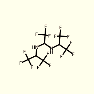 FC(F)(F)C(NC(C(F)(F)F)C(F)(F)F)NC(C(F)(F)F)C(F)(F)F